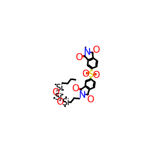 CCCC[Si](C)(C)O[Si](C)(C)O[Si](C)(C)CCCN1C(=O)c2ccc(S(=O)(=O)c3ccc4c(c3)C(=O)N(C)C4=O)cc2C1=O